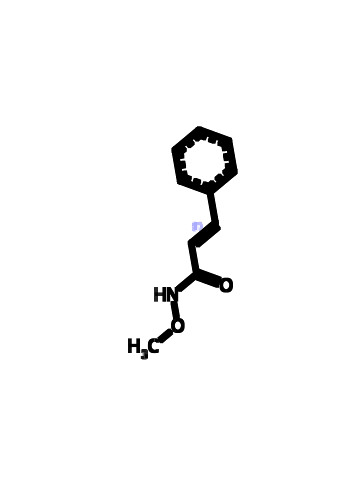 CONC(=O)/C=C/c1ccccc1